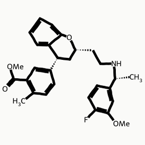 COC(=O)c1cc([C@H]2C[C@@H](CCN[C@H](C)c3ccc(F)c(OC)c3)Oc3ccccc32)ccc1C